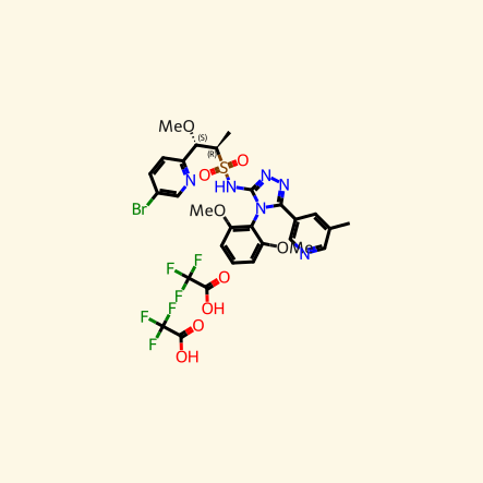 COc1cccc(OC)c1-n1c(NS(=O)(=O)[C@H](C)[C@@H](OC)c2ccc(Br)cn2)nnc1-c1cncc(C)c1.O=C(O)C(F)(F)F.O=C(O)C(F)(F)F